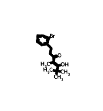 C/C(C(=O)CCc1ccccc1Br)=C(/O)C(C)(C)C